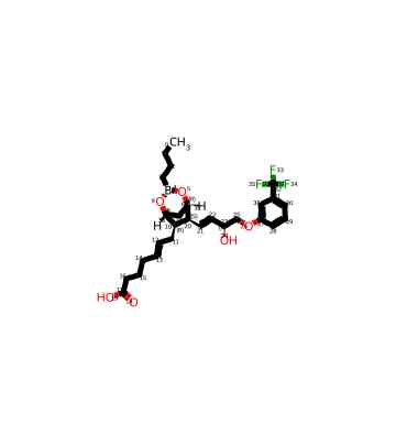 CCCCB1O[C@@H]2C[C@@H](O1)[C@H](CC=CCCCC(=O)O)[C@@H]2C=C[C@@H](O)COc1cccc(C(F)(F)F)c1